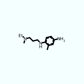 CCN(C)CCCNc1ccc(N)cc1C